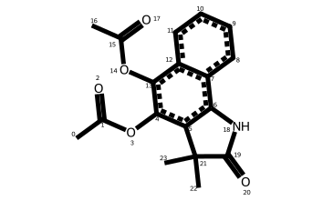 CC(=O)Oc1c2c(c3ccccc3c1OC(C)=O)NC(=O)C2(C)C